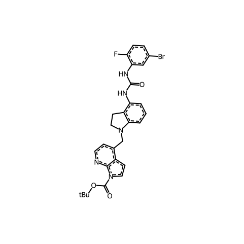 CC(C)(C)OC(=O)n1ccc2c(CN3CCc4c(NC(=O)Nc5cc(Br)ccc5F)cccc43)ccnc21